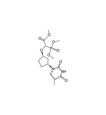 COC(=O)C(O[C@@H]1CC[C@H](n2cc(C)c(=O)[nH]c2=O)C1)P(=O)(OC)OC